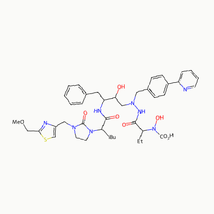 CCC(C)C(C(=O)NC(Cc1ccccc1)C(O)CN(Cc1ccc(-c2ccccn2)cc1)NC(=O)C(CC)N(O)C(=O)O)N1CCN(Cc2csc(COC)n2)C1=O